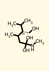 CNC(O)(O)CC(C)[C@@H](CO)C(C)C